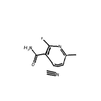 C#N.Cc1ccc(C(N)=O)c(F)n1